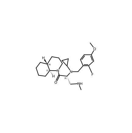 CNC[C@H](C(=O)N1CCC[C@H]2CCCC[C@@H]21)N(Cc1ccc(OC)cc1F)C1CC1